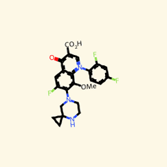 COc1c(N2CCNC3(CC3)C2)c(F)cc2c(=O)c(C(=O)O)cn(-c3ccc(F)cc3F)c12